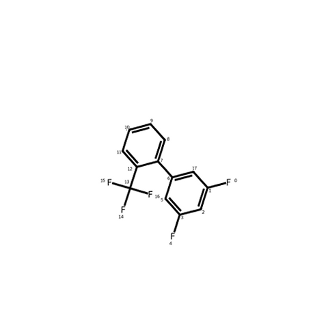 Fc1cc(F)cc(-c2cc[c]cc2C(F)(F)F)c1